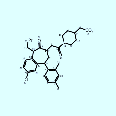 Cc1ccc(C2CN(CC(=O)N3CCC(CC(=O)O)CC3)C(=O)C(CC(C)C)c3ccc(Cl)cc32)c(C)c1